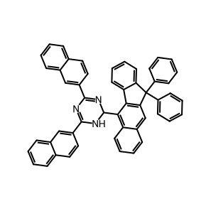 c1ccc(C2(c3ccccc3)c3ccccc3-c3c2cc2ccccc2c3C2N=C(c3ccc4ccccc4c3)N=C(c3ccc4ccccc4c3)N2)cc1